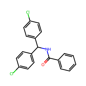 O=C(NC(c1ccc(Cl)cc1)c1ccc(Cl)cc1)c1ccccc1